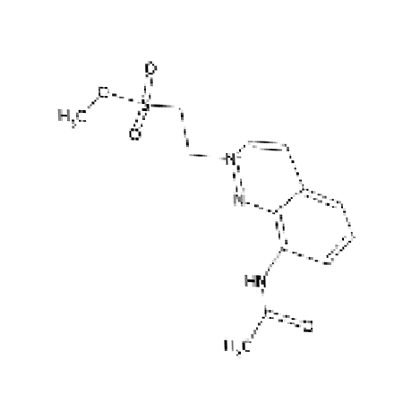 COS(=O)(=O)CC[n+]1ccc2cccc(NC(C)=O)c2n1